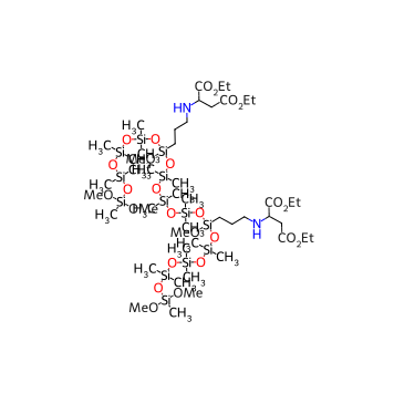 CCOC(=O)CC(NCCC[Si](OC)(O[Si](C)(C)O[Si](C)(C)O[Si](C)(C)O[Si](C)(OC)OC)O[Si](C)(C)O[Si](C)(C)O[Si](C)(C)O[Si](CCCNC(CC(=O)OCC)C(=O)OCC)(OC)O[Si](C)(C)O[Si](C)(C)O[Si](C)(C)O[Si](C)(OC)OC)C(=O)OCC